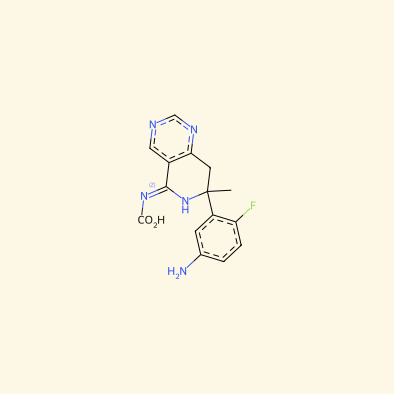 CC1(c2cc(N)ccc2F)Cc2ncncc2/C(=N/C(=O)O)N1